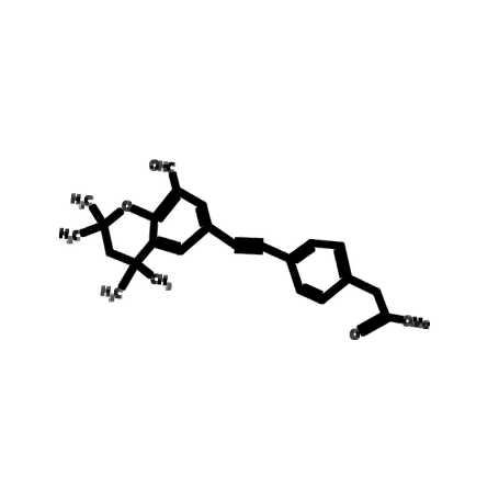 COC(=O)Cc1ccc(C#Cc2cc(C=O)c3c(c2)C(C)(C)CC(C)(C)O3)cc1